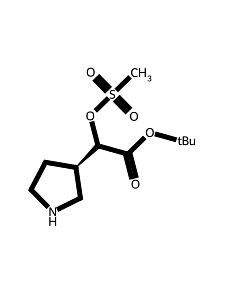 CC(C)(C)OC(=O)C(OS(C)(=O)=O)[C@@H]1CCNC1